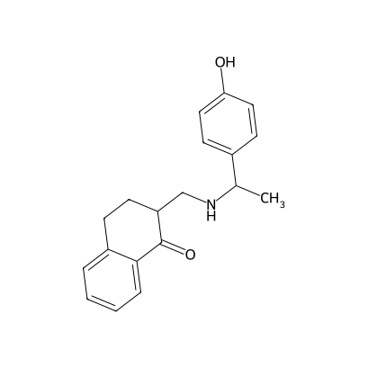 CC(NCC1CCc2ccccc2C1=O)c1ccc(O)cc1